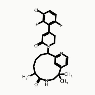 CC1CCCC(N2CCC(c3c(F)ccc(Cl)c3F)=CC2=O)c2cc(ccn2)C(C)(C)CNC1=O